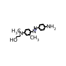 Cc1cc(N(C)CCO)ccc1/N=N/c1ccc(N)cc1